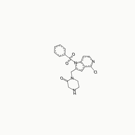 O=C1CNCCN1Cc1cc2c(Cl)nccc2n1S(=O)(=O)c1ccccc1